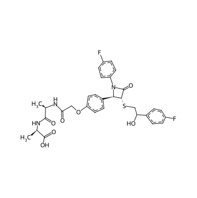 C[C@@H](NC(=O)[C@@H](C)NC(=O)COc1ccc([C@@H]2[C@@H](SCC(O)c3ccc(F)cc3)C(=O)N2c2ccc(F)cc2)cc1)C(=O)O